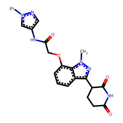 CC(C)n1cc(NC(=O)COc2cccc3c(C4CCC(=O)NC4=O)nn(C)c23)cn1